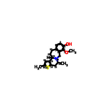 COc1c(O)ccc2c1CN1C(C)Cc3sc(C)cc3[C@@H]1CC2